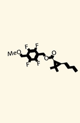 C=C/C=C/[C@@H]1[C@@H](C(=O)OCc2c(F)c(F)c(COC)c(F)c2F)C1(C)C